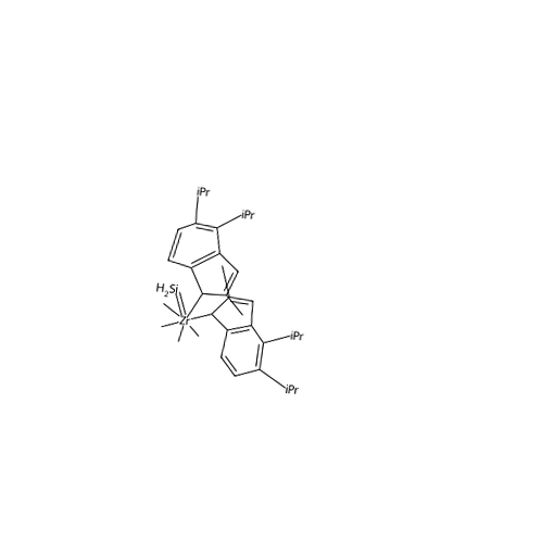 CC1=Cc2c(ccc(C(C)C)c2C(C)C)[CH]1[Zr]([CH3])([CH3])([CH3])([CH3])(=[SiH2])[CH]1C(C)=Cc2c1ccc(C(C)C)c2C(C)C